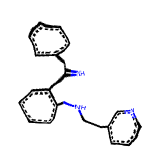 N=C(c1ccccc1)c1ccccc1NCc1cccnc1